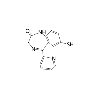 O=C1CN=C(c2ccccn2)c2cc(S)ccc2N1